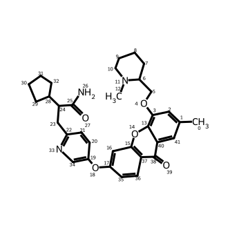 Cc1cc(OCC2CCCCN2C)c2oc3cc(Oc4ccc(CC(C(N)=O)C5CCCC5)nc4)ccc3c(=O)c2c1